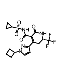 O=C1N[C@@H](C(F)(F)F)CC(c2ccn(C3CCC3)n2)=C1C(=O)NS(=O)(=O)C1CC1